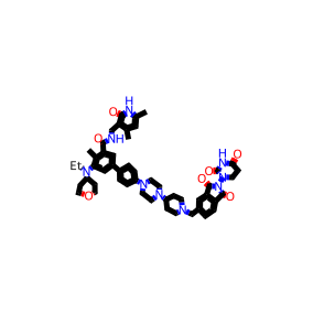 CCN(c1cc(-c2ccc(N3CCN(C4CCN(Cc5ccc6c(c5)C(=O)N(N5CCC(=O)NC5=O)C6=O)CC4)CC3)cc2)cc(C(=O)NCc2c(C)cc(C)[nH]c2=O)c1C)C1CCOCC1